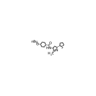 CCCCOc1ccc(C(=O)Nc2cc(-c3cccs3)nn2C)cc1